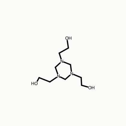 OCCN1CN(CCO)CN(CCO)C1